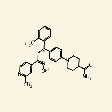 Cc1cc(C(C[C@H](c2ccc(N3CCC(C(N)=O)CC3)cc2)c2ccccc2C)=NO)ccn1